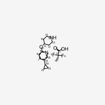 O=C(O)C(F)(F)F.c1cc(OC2CCNCC2)ncc1C1CC1